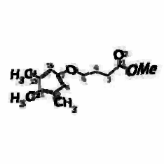 COC(=O)CCCOc1cc(C)c(C)c(C)c1